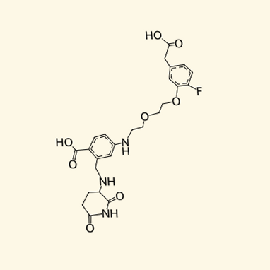 O=C(O)Cc1ccc(F)c(OCCOCCNc2ccc(C(=O)O)c(CNC3CCC(=O)NC3=O)c2)c1